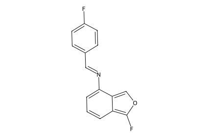 Fc1ccc(C=Nc2cccc3c(F)occ23)cc1